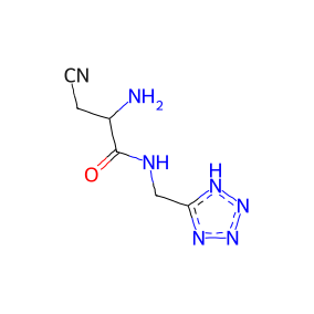 N#CCC(N)C(=O)NCc1nnn[nH]1